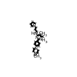 Cc1nc(-c2ccc(N3CCN(C)CC3)cc2)nc(NCCCN2CCCC2)c1C